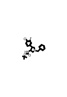 CC(C)(C)OC(=O)NC1CN(Cc2ccccc2)CC1c1ccc(Cl)c(F)c1